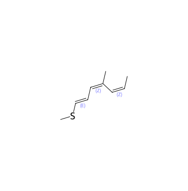 C\C=C/C(C)=C\C=C\SC